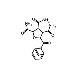 NC(=O)C1OC(C(=O)N2C3=CC=CC2=C3)C(C(N)=O)C1C(N)=O